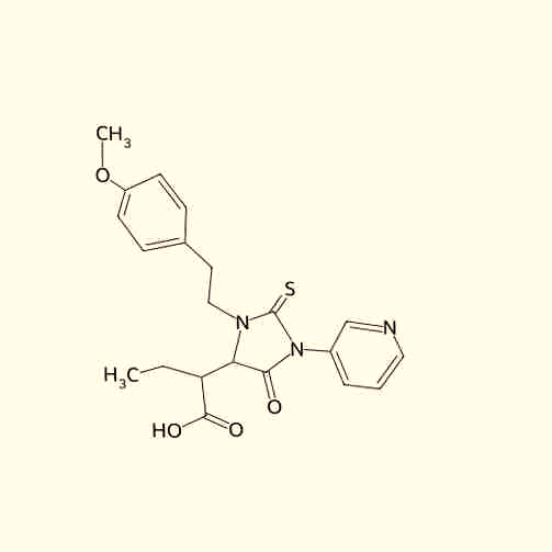 CCC(C(=O)O)C1C(=O)N(c2cccnc2)C(=S)N1CCc1ccc(OC)cc1